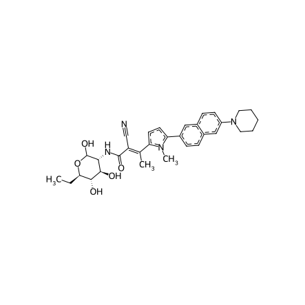 CC[C@H]1OC(O)[C@H](NC(=O)/C(C#N)=C(\C)c2ccc(-c3ccc4cc(N5CCCCC5)ccc4c3)n2C)[C@@H](O)[C@@H]1O